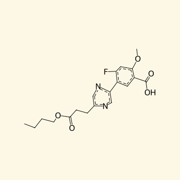 CCCCOC(=O)CCc1cnc(-c2cc(C(=O)O)c(OC)cc2F)cn1